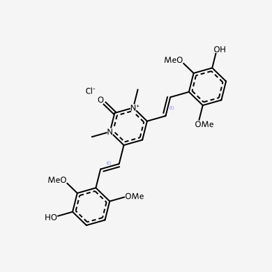 COc1ccc(O)c(OC)c1/C=C/c1cc(/C=C/c2c(OC)ccc(O)c2OC)[n+](C)c(=O)n1C.[Cl-]